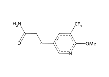 COc1ncc([CH]CC(N)=O)cc1C(F)(F)F